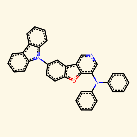 c1ccc(N(c2ccccc2)c2cncc3c2oc2ccc(-n4c5ccccc5c5ccccc54)cc23)cc1